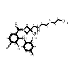 CCCOCCNCC1(O)CN(C(=O)c2ccc(F)c(F)c2Nc2ccc(I)cc2F)C1